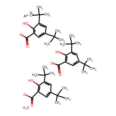 CC(C)(C)c1cc(C(=O)[O-])c(O)c(C(C)(C)C)c1.CC(C)(C)c1cc(C(=O)[O-])c(O)c(C(C)(C)C)c1.CC(C)(C)c1cc(C(=O)[O-])c(O)c(C(C)(C)C)c1.O.[Al+3]